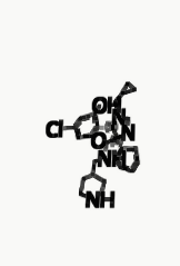 O=C(NCC1CCNCC1)[C@]1(c2ccccc2)N=CN(CC2CC2)[C@H]1c1ccc(Cl)cc1O